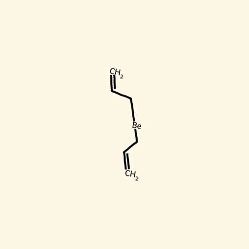 C=C[CH2][Be][CH2]C=C